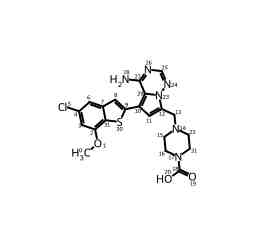 COc1cc(Cl)cc2cc(-c3cc(CN4CCN(C(=O)O)CC4)n4ncnc(N)c34)sc12